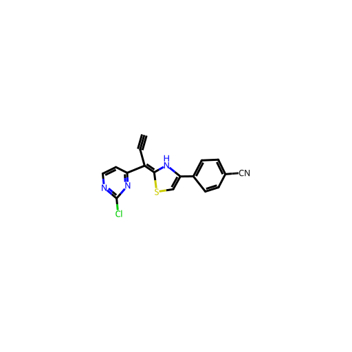 C#C/C(=C1\NC(c2ccc(C#N)cc2)=CS1)c1ccnc(Cl)n1